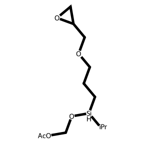 CC(=O)OCO[SiH](CCCOCC1CO1)C(C)C